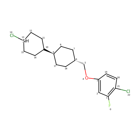 Fc1cc(OC[C@H]2CC[C@H](C3CC[SiH](Cl)CC3)CC2)ccc1Cl